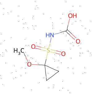 COC1(S(=O)(=O)NC(=O)O)CC1